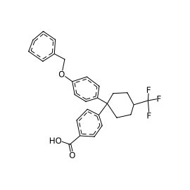 O=C(O)c1ccc(C2(c3ccc(OCc4ccccc4)cc3)CCC(C(F)(F)F)CC2)cc1